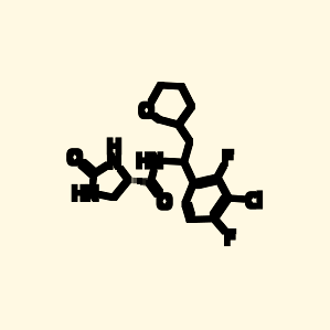 O=C1NC[C@@H](C(=O)NC(CC2CCCOC2)c2ccc(F)c(Cl)c2F)N1